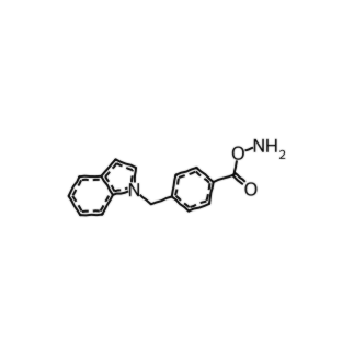 NOC(=O)c1ccc(Cn2ccc3ccccc32)cc1